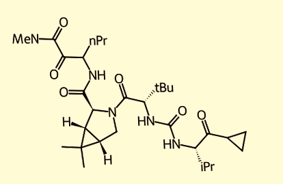 CCCC(NC(=O)[C@@H]1[C@@H]2[C@H](CN1C(=O)[C@@H](NC(=O)N[C@H](C(=O)C1CC1)C(C)C)C(C)(C)C)C2(C)C)C(=O)C(=O)NC